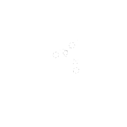 CCCCCc1ccc(S(=O)(=O)NCCc2nc(-c3ccc(OC)cc3)[nH]c2-c2ccc(OC)cc2)cc1